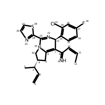 C=CC(C)[C@H]1CC2=C(C(=N)/C=C\C)[C@H](c3ccc(F)cc3Cl)N=C(c3nccs3)N2C1